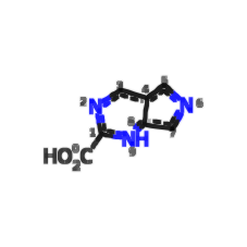 O=C(O)c1ncc2cncc-2[nH]1